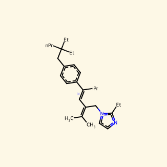 CCCC(CC)(CC)Cc1ccc(/C(=C/C(Cn2ccnc2CC)=C(C)C)C(C)C)cc1